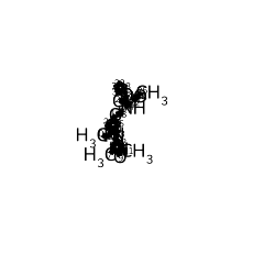 CCn1c(-c2cc(C)c(=O)n(C)c2)nc2cc(OCCN[C@@H](CCOC)C(=O)OC3CCCC3)ccc21